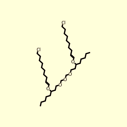 CCCCCC(CCOCOCOCCC(CCCCC)OC=CCCCCCCCCCl)OC=CCCCCCCCCCl